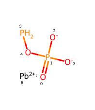 O=P([O-])([O-])OP.[Pb+2]